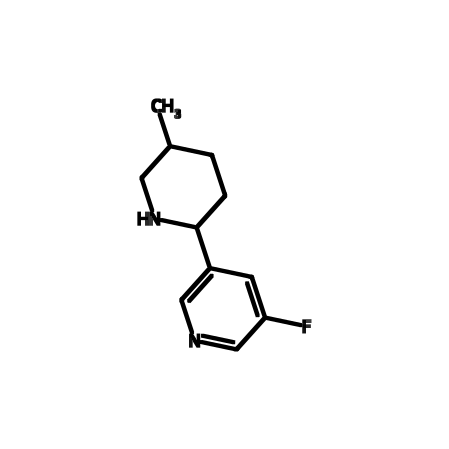 CC1CCC(c2cncc(F)c2)NC1